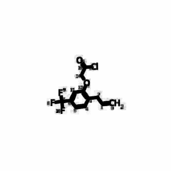 C=CCc1ccc(C(F)(F)F)cc1OCC(=O)Cl